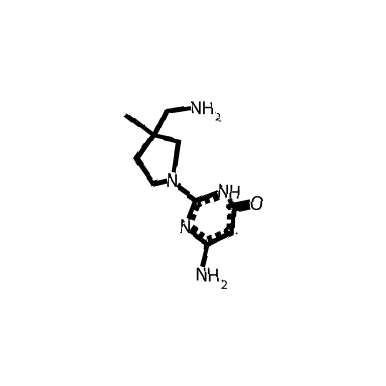 CC1(CN)CCN(c2nc(N)[c]c(=O)[nH]2)C1